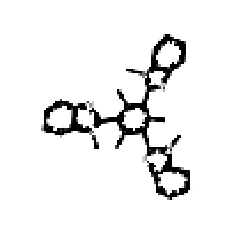 Cc1c(-c2nc3ccccc3n2C)c(C)c(-c2nc3ccccc3n2C)c(C)c1-c1nc2ccccc2n1C